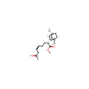 COC(=O)C(CC/C=C\CC(C)=O)[C@@H]1C[C@H]2CC[C@H]1C2